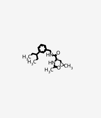 CCC(CC)c1cccc(CNC(=O)[C@@H](COC)NC(C)=O)c1